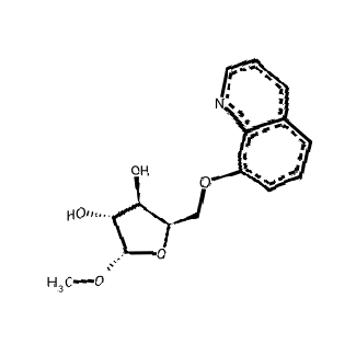 CO[C@H]1O[C@H](COc2cccc3cccnc23)[C@H](O)[C@H]1O